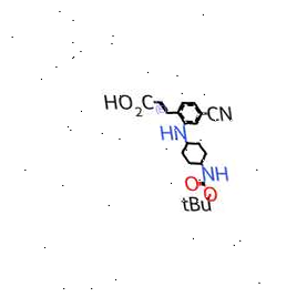 CC(C)(C)OC(=O)NC1CCC(Nc2cc(C#N)ccc2/C=C/C(=O)O)CC1